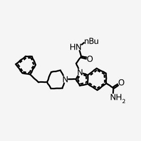 CCCCNC(=O)Cn1c(N2CCC(Cc3ccccc3)CC2)cc2cc(C(N)=O)ccc21